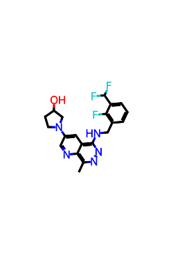 Cc1nnc(NCc2cccc(C(F)F)c2F)c2cc(N3CCC(O)C3)cnc12